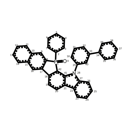 O=P1(c2ccccc2)c2cc3ccccc3cc2-c2ccc3c4ccccc4n(-c4cccc(-c5ccccc5)c4)c3c21